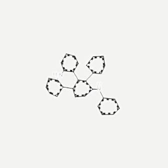 Nc1ccccc1-c1c(-c2ccccc2)ccc(Nc2ccccc2)c1-c1ccccc1